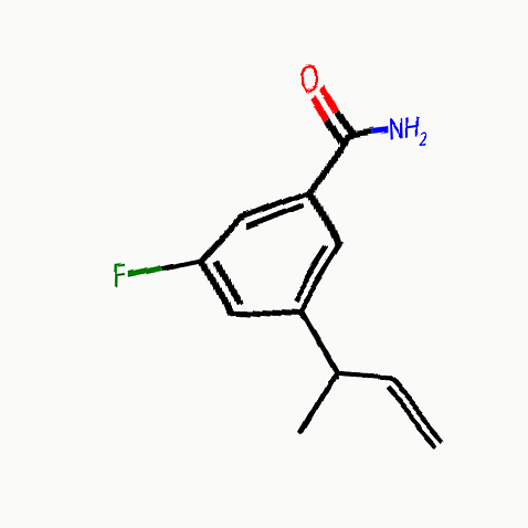 C=C[C](C)c1cc(F)cc(C(N)=O)c1